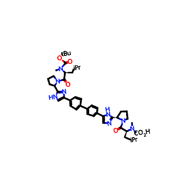 CC(C)C[C@@H](C(=O)N1CCC[C@H]1c1ncc(-c2ccc(-c3ccc(-c4c[nH]c(C5CCCN5C(=O)[C@H](CC(C)C)N(C)C(=O)OC(C)(C)C)n4)cc3)cc2)[nH]1)N(C)C(=O)O